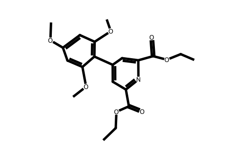 CCOC(=O)c1cc(-c2c(OC)cc(OC)cc2OC)cc(C(=O)OCC)n1